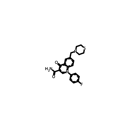 NC(=O)c1cn(-c2ccc(F)cc2)c2ccc(CN3CCSCC3)cc2c1=O